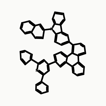 c1ccc(-c2cc(-c3ccc4c(c3)c3ccccc3c3cccc(-c5ccc6c(c5)c5ccccc5n6-c5ccc6ccccc6c5)c34)cc(-c3ccccc3)n2)cc1